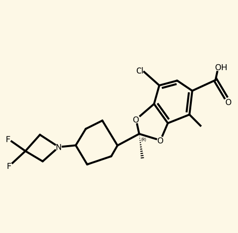 Cc1c(C(=O)O)cc(Cl)c2c1O[C@@](C)(C1CCC(N3CC(F)(F)C3)CC1)O2